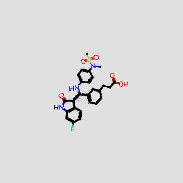 CN(c1ccc(N/C(=C2\C(=O)Nc3cc(F)ccc32)c2cccc(CCC(=O)O)c2)cc1)S(C)(=O)=O